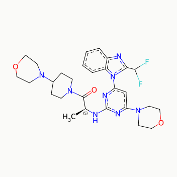 C[C@H](Nc1nc(N2CCOCC2)cc(-n2c(C(F)F)nc3ccccc32)n1)C(=O)N1CCC(N2CCOCC2)CC1